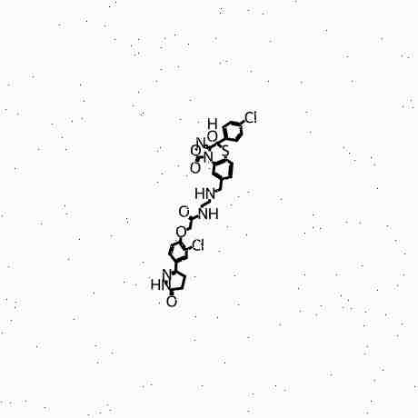 O=C(COc1ccc(C2=NNC(=O)CC2)cc1Cl)NCCNCc1ccc2c(c1)-n1c(noc1=O)C(O)(c1ccc(Cl)cc1)S2